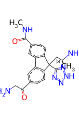 CNC(=O)c1ccc2c(c1)-c1cc(C(=O)CN)ccc1C2(C[C@H](C)N)c1nn[nH]n1